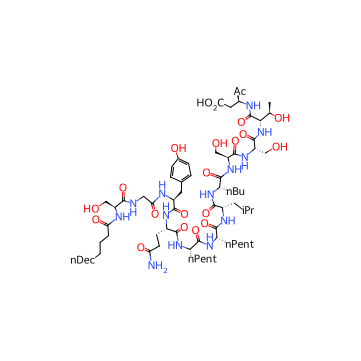 CCCCCCCCCCCCCC(=O)N[C@@H](CO)C(=O)NCC(=O)N[C@@H](Cc1ccc(O)cc1)C(=O)N[C@@H](CCC(N)=O)C(=O)N[C@@H](CCCCC)C(=O)N[C@@H](CCCCC)C(=O)N[C@@H](CC(C)C)C(=O)N[C@@H](CCCC)C(=O)N[C@@H](CO)C(=O)N[C@@H](CO)C(=O)N[C@H](C(=O)N[C@@H](CC(=O)O)C(C)=O)[C@@H](C)O